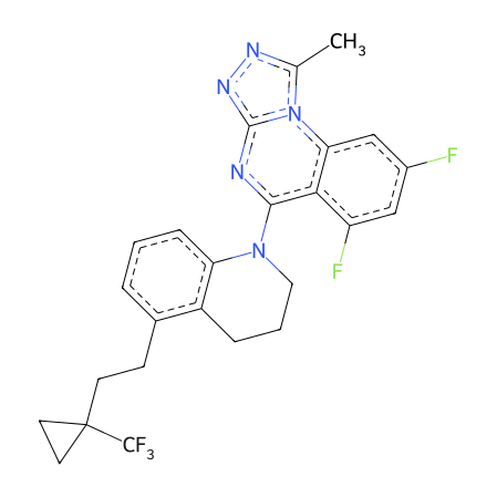 Cc1nnc2nc(N3CCCc4c(CCC5(C(F)(F)F)CC5)cccc43)c3c(F)cc(F)cc3n12